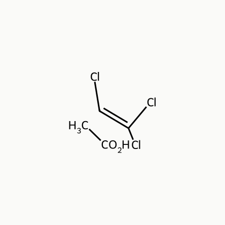 CC(=O)O.ClC=C(Cl)Cl